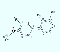 Fc1cc(-c2cccc(F)c2F)ccc1OC(F)(F)F